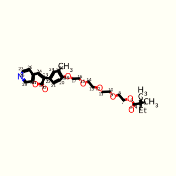 CCC(C)(C)C(=O)OCCOCCOCCOCCOc1ccc(-c2cc3ccncc3oc2=O)cc1C